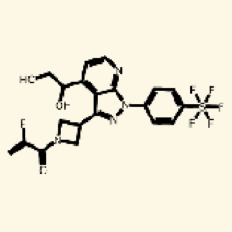 C=C(F)C(=O)N1CC(c2nn(-c3ccc(S(F)(F)(F)(F)F)cc3)c3nccc(C(O)CO)c23)C1